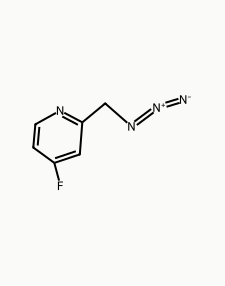 [N-]=[N+]=NCc1cc(F)ccn1